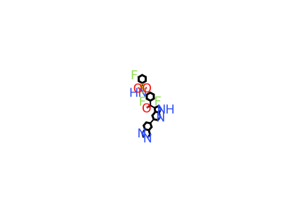 O=C(c1c(F)ccc(NS(=O)(=O)c2cccc(F)c2)c1F)c1c[nH]c2ncc(-c3ccc4ncncc4c3)cc12